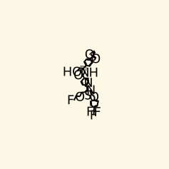 CCS(=O)(=O)c1ccc([C@H](CO)NC(=O)c2ccc(-c3nc(Oc4ccc(C(F)(F)F)cc4)sc3COCCF)nc2)cc1